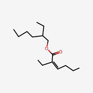 CCCC=C(CC)C(=O)OCC(CC)CCCC